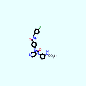 O=C(O)Nc1cccc(-n2c(=O)n(-c3ccc(C(=O)NCc4ccc(F)cc4)cc3)c3cnccc32)c1